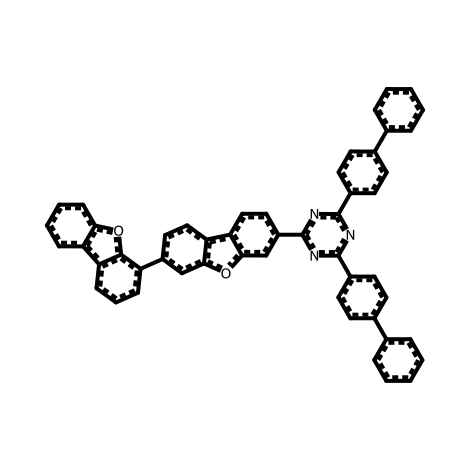 c1ccc(-c2ccc(-c3nc(-c4ccc(-c5ccccc5)cc4)nc(-c4ccc5c(c4)oc4cc(-c6cccc7c6oc6ccccc67)ccc45)n3)cc2)cc1